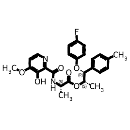 COc1ccnc(C(=O)N[C@@H](C)C(=O)O[C@@H](C)[C@H](Oc2ccc(F)cc2)c2ccc(C)cc2)c1O